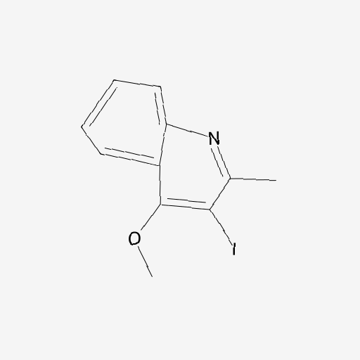 COc1c(I)c(C)nc2ccccc12